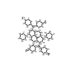 Fc1ccc(N(c2ccc(F)cc2)c2cc(-c3ccccc3)c3ccc4c(N(c5ccc(F)cc5)c5ccc(F)cc5)cc(-c5ccccc5)c5ccc2c3c54)cc1